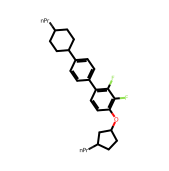 CCCC1CCC(c2ccc(-c3ccc(OC4CCC(CCC)C4)c(F)c3F)cc2)CC1